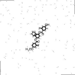 COc1ccc(C(=O)Oc2ccc(OC(=O)c3ccc(O)cc3F)c3c2C2CCC3C2)c(F)c1